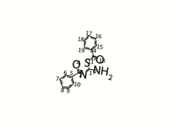 NC(=NC(=O)c1ccccc1)SC(=O)c1ccccc1